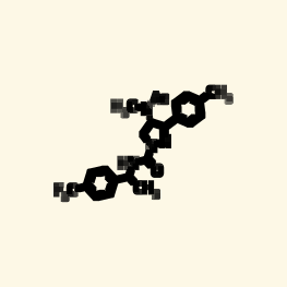 CC(=O)N(C)[C@H]1CN(C(=O)NC(C)c2ccc(C(F)(F)F)cc2)N=C1c1ccc(C)cc1